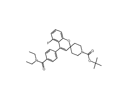 CCN(CC)C(=O)c1ccc(C2=CC3(CCN(C(=O)OC(C)(C)C)CC3)Oc3cccc(F)c32)cc1